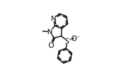 CN1C(=O)C([S+]([O-])c2ccccc2)c2cccnc21